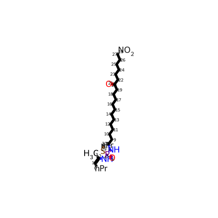 CCCC=C(C)NP(=O)(NCCCCCCCCCCCCC(=O)CCCCCC[N+](=O)[O-])SCCC